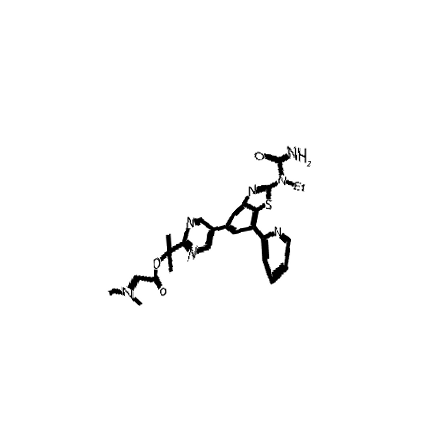 CCN(C(N)=O)c1nc2cc(-c3cnc(C(C)(C)OC(=O)CN(C)C)nc3)cc(-c3ccccn3)c2s1